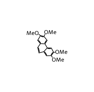 COc1cc2ccc3cc(OC)c(OC)cc3c2cc1OC